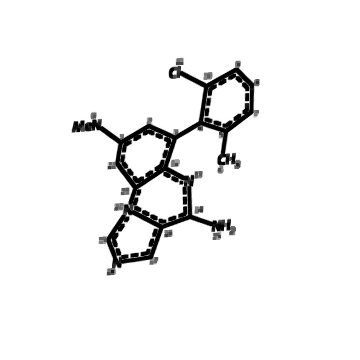 CNc1cc(-c2c(C)cccc2Cl)c2nc(N)c3cncn3c2c1